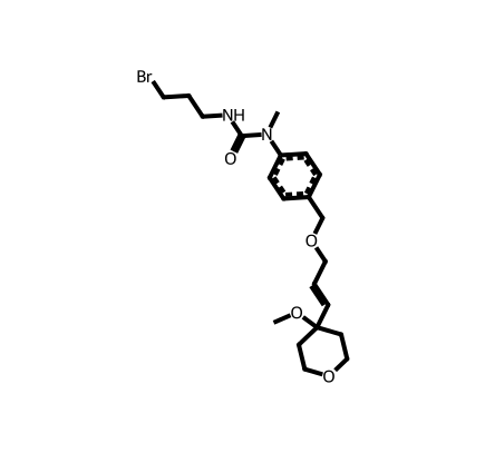 COC1(C=CCOCc2ccc(N(C)C(=O)NCCCBr)cc2)CCOCC1